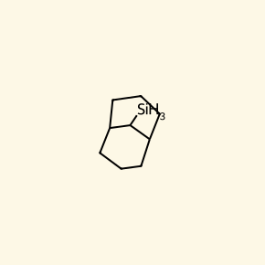 [SiH3]C1C2CCCC1CCC2